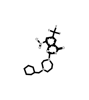 O=c1nc(N2CCCN(CC3CCCCC3)CC2)sc2c([N+](=O)[O-])cc(C(F)(F)F)cc12